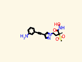 C[C@@](CCn1cc(C#Cc2cccc(N)c2)cn1)(C(=O)NO)S(C)(=O)=O